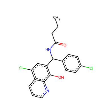 CCCC(=O)NC(c1ccc(Cl)cc1)c1cc(Cl)c2cccnc2c1O